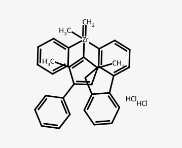 Cl.Cl.[CH2]=[Zr]([CH3])([C]1=C(C)C(c2ccccc2)=CC1C)([c]1ccccc1)[c]1cccc2c1Cc1ccccc1-2